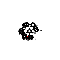 N#Cc1cccc(-c2c(C#N)c(-c3cccc(C#N)c3)c(-n3c4ccccc4c4ccc5oc6ccccc6c5c43)c(-n3c4ccccc4c4ccc5oc6ccccc6c5c43)c2-n2c3ccccc3c3ccc4oc5ccccc5c4c32)c1